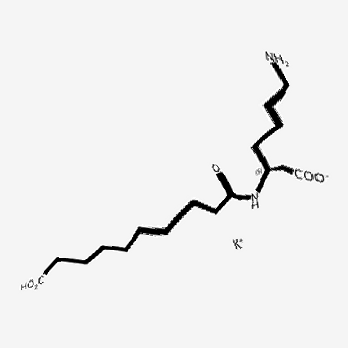 NCCCC[C@H](NC(=O)CCCCCCCCC(=O)O)C(=O)[O-].[K+]